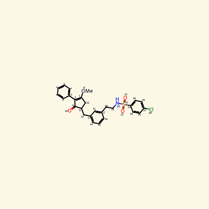 COC1=C(c2ccccc2)C(=O)C(Cc2cccc(CCNS(=O)(=O)c3ccc(Cl)cc3)c2)C1